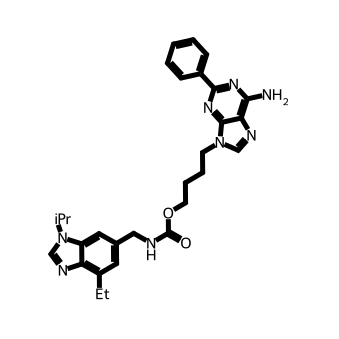 CCc1cc(CNC(=O)OCCCCn2cnc3c(N)nc(-c4ccccc4)nc32)cc2c1ncn2C(C)C